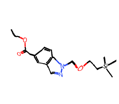 CCOC(=O)c1ccc2c(cnn2COCC[Si](C)(C)C)c1